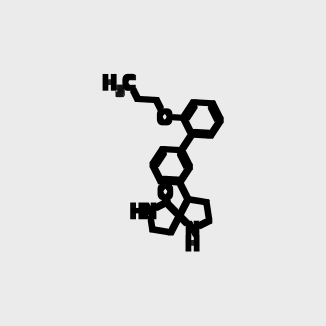 CCCOc1ccccc1-c1cccc(C2CCNC23CCNC3=O)c1